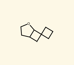 [CH]1C2CCOC2C12CCC2